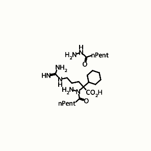 CCCCCC(=O)N(N)C(CCCNC(=N)N)(C(=O)O)C1CCCCC1.CCCCCC(=O)NN